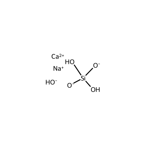 [Ca+2].[Na+].[O-][Si]([O-])(O)O.[OH-]